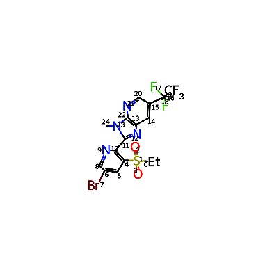 CCS(=O)(=O)c1cc(Br)cnc1-c1nc2cc(C(F)(F)C(F)(F)F)cnc2n1C